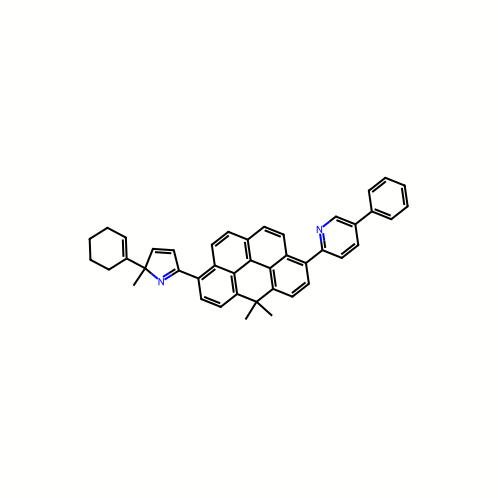 CC1(C2=CCCCC2)C=CC(c2ccc3c4c2ccc2ccc5c(-c6ccc(-c7ccccc7)cn6)ccc(c5c24)C3(C)C)=N1